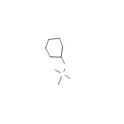 CC(C)(C)[Si](C)(C)OC1CCCC[C@@H]1F